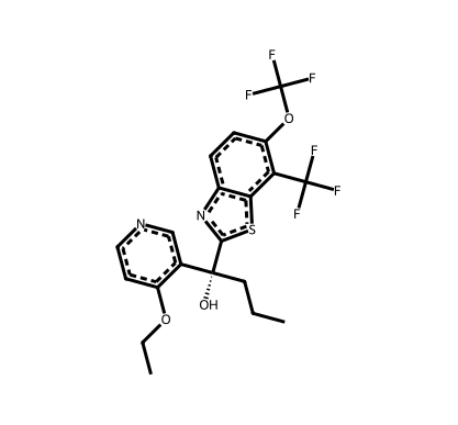 CCC[C@](O)(c1nc2ccc(OC(F)(F)F)c(C(F)(F)F)c2s1)c1cnccc1OCC